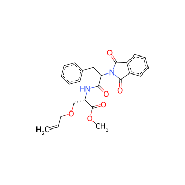 C=CCOC[C@H](NC(=O)C(Cc1ccccc1)N1C(=O)c2ccccc2C1=O)C(=O)OC